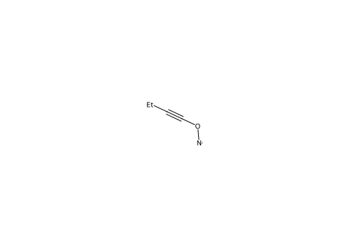 CCC#CO[N]